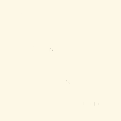 CCOC(=O)CCNCc1ccc(OCCC2CC2)nc1